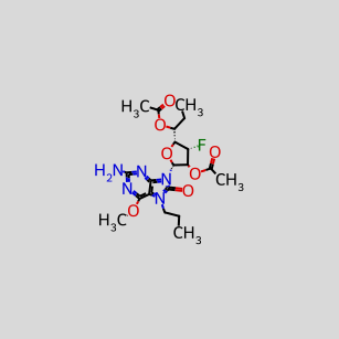 CCCn1c(=O)n([C@@H]2O[C@H](C(CC)OC(C)=O)[C@H](F)[C@H]2OC(C)=O)c2nc(N)nc(OC)c21